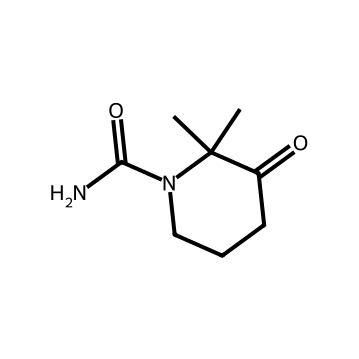 CC1(C)C(=O)CCCN1C(N)=O